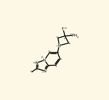 Cc1nc2ccc(N3CC(F)(P)C3)cn2n1